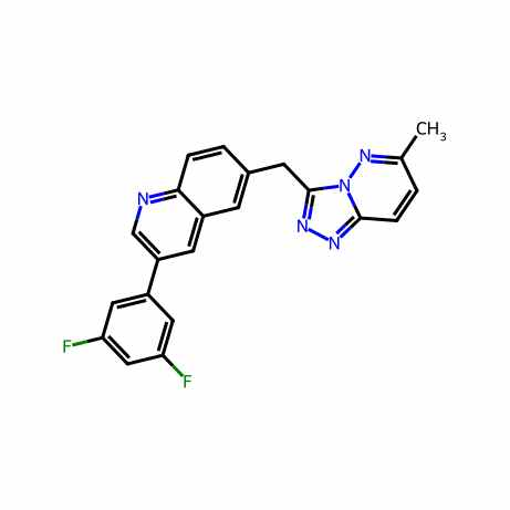 Cc1ccc2nnc(Cc3ccc4ncc(-c5cc(F)cc(F)c5)cc4c3)n2n1